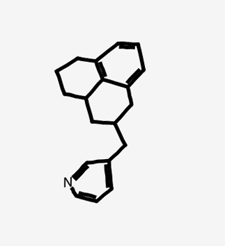 c1cncc(CC2Cc3cccc4c3C(CCC4)C2)c1